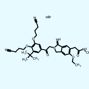 Br.CCOc1cc2c(cc1CC(=O)NC)C(=N)N(CC(=O)c1cc(OCCCC#N)c(OCCCC#N)c(C(C)(C)C)c1)C2